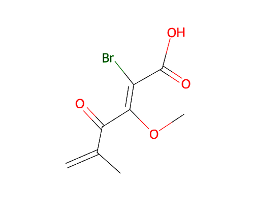 C=C(C)C(=O)C(OC)=C(Br)C(=O)O